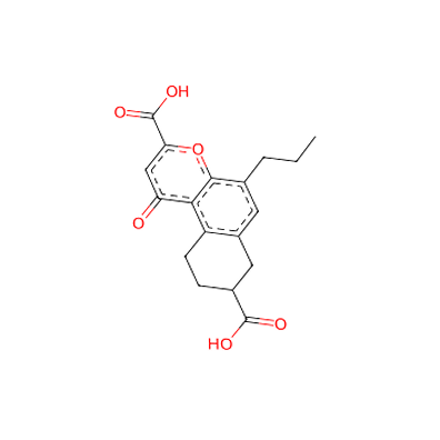 CCCc1cc2c(c3c(=O)cc(C(=O)O)oc13)CCC(C(=O)O)C2